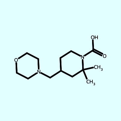 CC1(C)CC(CN2CCOCC2)CCN1C(=O)O